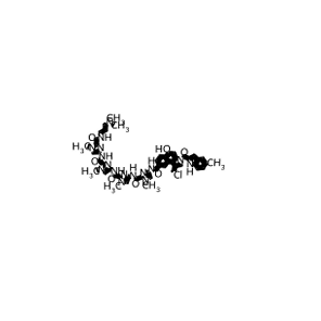 Cc1ccc2[nH]c(C(=O)N3CC(CCl)c4c3cc(O)c3ccc(C(=O)Nc5cn(C)c(C(=O)Nc6cn(C)c(C(=O)Nc7cn(C)c(C(=O)Nc8cn(C)c(C(=O)NCCCN(C)C)n8)n7)n6)n5)cc43)cc2c1